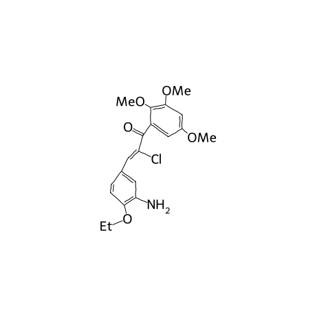 CCOc1ccc(C=C(Cl)C(=O)c2cc(OC)cc(OC)c2OC)cc1N